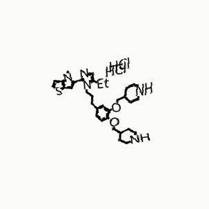 CCc1cnc(-c2cc3sccc3n2C)n1CCCc1ccc(OCC2CCNCC2)c(OCC2CCNCC2)c1.Cl.Cl